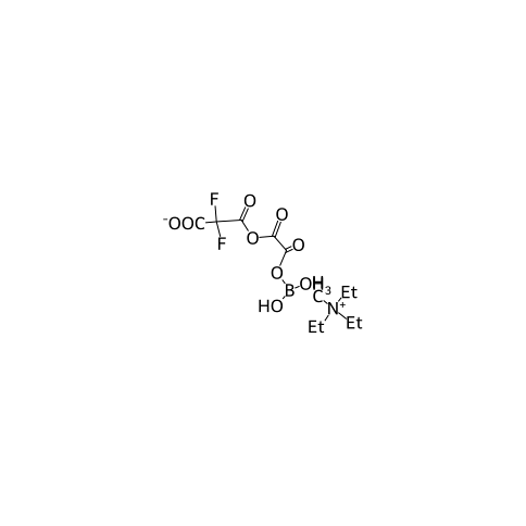 CC[N+](C)(CC)CC.O=C(OB(O)O)C(=O)OC(=O)C(F)(F)C(=O)[O-]